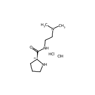 CN(C)CCNC(=O)[C@@H]1CCCN1.Cl.Cl